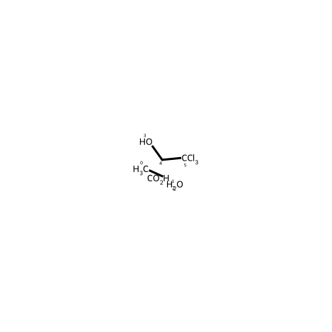 CC(=O)O.O.OCC(Cl)(Cl)Cl